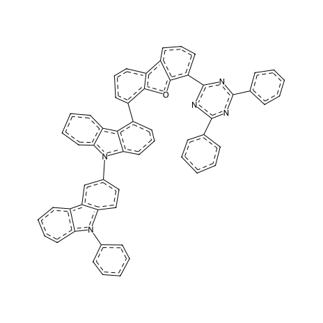 c1ccc(-c2nc(-c3ccccc3)nc(-c3cccc4c3oc3c(-c5cccc6c5c5ccccc5n6-c5ccc6c(c5)c5ccccc5n6-c5ccccc5)cccc34)n2)cc1